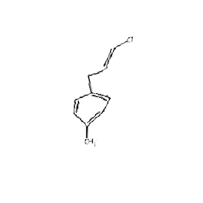 [CH2]c1ccc(CC=CCl)cc1